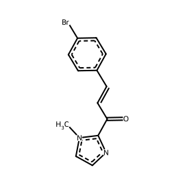 Cn1ccnc1C(=O)/C=C/c1ccc(Br)cc1